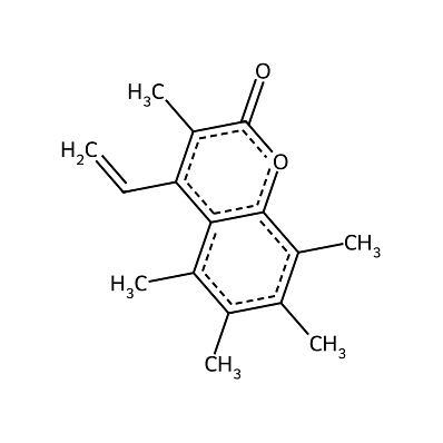 C=Cc1c(C)c(=O)oc2c(C)c(C)c(C)c(C)c12